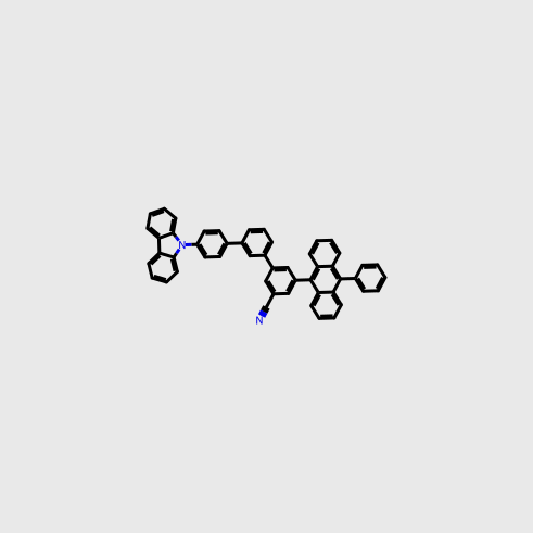 N#Cc1cc(-c2cccc(-c3ccc(-n4c5ccccc5c5ccccc54)cc3)c2)cc(-c2c3ccccc3c(-c3ccccc3)c3ccccc23)c1